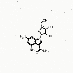 NC(=O)c1cn([C@@H]2O[C@H](CO)[C@@H](O)[C@H]2O)c2nc(N)nc(N)c12